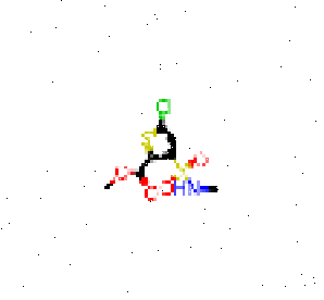 CNS(=O)(=O)c1cc(Cl)sc1C(=O)OC